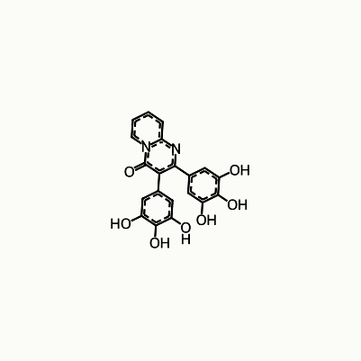 O=c1c(-c2cc(O)c(O)c(O)c2)c(-c2cc(O)c(O)c(O)c2)nc2ccccn12